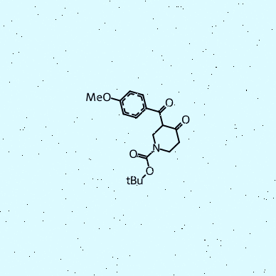 COc1ccc(C(=O)C2CN(C(=O)OC(C)(C)C)CCC2=O)cc1